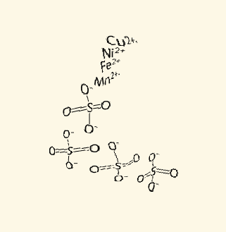 O=S(=O)([O-])[O-].O=S(=O)([O-])[O-].O=S(=O)([O-])[O-].O=S(=O)([O-])[O-].[Cu+2].[Fe+2].[Mn+2].[Ni+2]